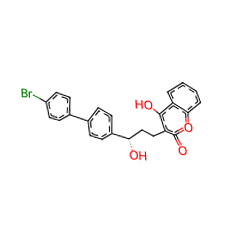 O=c1oc2ccccc2c(O)c1CC[C@H](O)c1ccc(-c2ccc(Br)cc2)cc1